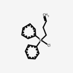 C=CCC[Si](Cl)(c1ccccc1)c1ccccc1